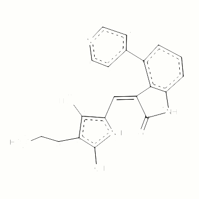 Cc1[nH]c(C=C2C(=O)Nc3cccc(-c4ccncc4)c32)c(C)c1CCC(=O)O